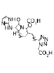 O=C(O)Cn1nnnc1SCC1=C(OC(=O)O)N2C(=O)C(Nc3ncc[nH]3)[C@@H]2SC1